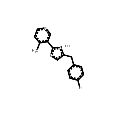 Cc1ccncc1-c1nc(Cc2ccc(Cl)cc2)cs1.Cl